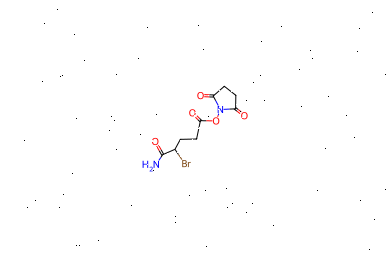 NC(=O)C(Br)CCC(=O)ON1C(=O)CCC1=O